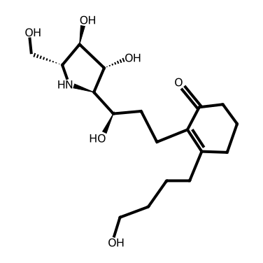 O=C1CCCC(CCCCO)=C1CC[C@@H](O)[C@H]1N[C@H](CO)[C@@H](O)[C@@H]1O